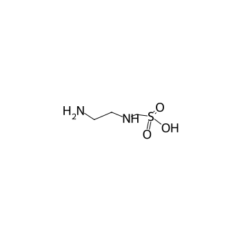 NCCNCS(=O)(=O)O